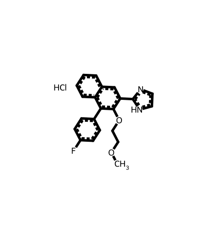 COCCOc1c(-c2ncc[nH]2)cc2ccccc2c1-c1ccc(F)cc1.Cl